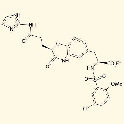 CCOC(=O)[C@H](Cc1ccc2c(c1)NC(=O)[C@@H](CCC(=O)Nc1ncc[nH]1)O2)NS(=O)(=O)c1cc(Cl)ccc1OC